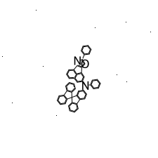 c1ccc(-c2nc3c(o2)-c2cc(N(c4ccccc4)c4ccc5c(c4)C4(c6ccccc6-c6ccccc64)c4ccccc4-5)cc4cccc-3c24)cc1